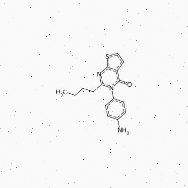 CCCCc1nc2sccc2c(=O)n1-c1ccc(N)cc1